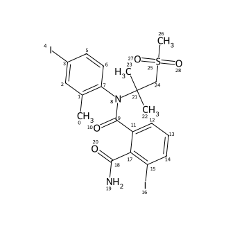 Cc1cc(I)ccc1N(C(=O)c1cccc(I)c1C(N)=O)C(C)(C)CS(C)(=O)=O